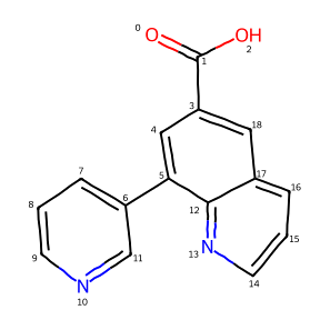 O=C(O)c1cc(-c2cccnc2)c2ncccc2c1